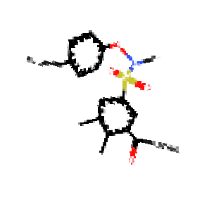 CCN(Oc1ccc(C(C)(C)C)cc1)S(=O)(=O)c1cc(C)c(C)c(C(=O)OC)c1